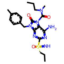 CCCN(C)C(=O)n1c(=O)n(Cc2ccc(C)cc2)c2nc([S@@](=N)(=O)CCC)nc(N)c21